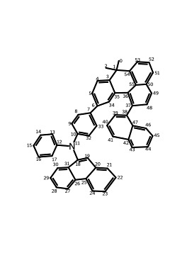 CC1(C)c2ccc(-c3ccc(N(c4ccccc4)c4cc5ccccc5c5ccccc45)cc3)cc2-c2c(-c3cccc4ccccc34)ccc3cccc1c23